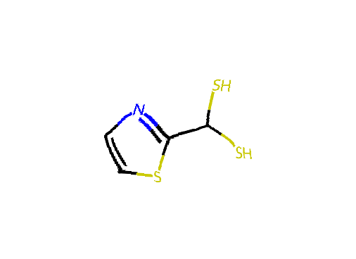 SC(S)c1nccs1